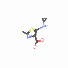 Cc1nc(C(=O)O)c(NC2CC2)s1